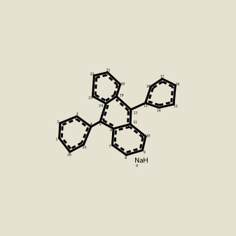 [NaH].c1ccc(-c2c3ccccc3c(-c3ccccc3)c3ccccc23)cc1